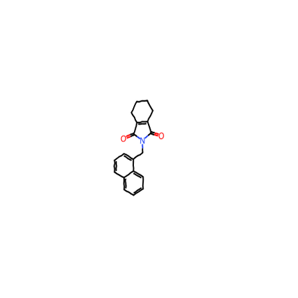 O=C1C2=C(CCCC2)C(=O)N1Cc1cccc2ccccc12